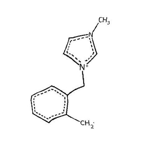 [CH2]c1ccccc1C[n+]1ccn(C)c1